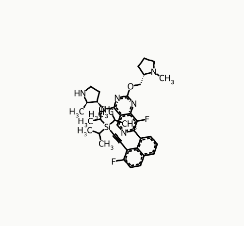 CC(C)[Si](C#Cc1c(F)ccc2cccc(-c3ncc4c(N(C)[C@@H]5CCN[C@@H]5C)nc(OC[C@@H]5CCCN5C)nc4c3F)c12)(C(C)C)C(C)C